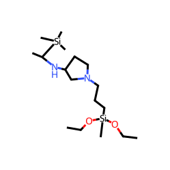 CCO[Si](C)(CCCN1CCC(NC(C)[Si](C)(C)C)C1)OCC